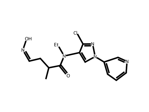 CCN(C(=O)C(C)C/C=N\O)c1cn(-c2cccnc2)nc1Cl